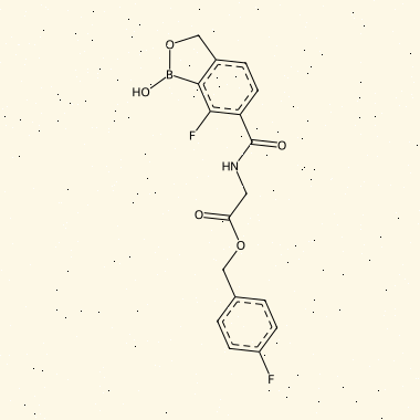 O=C(CNC(=O)c1ccc2c(c1F)B(O)OC2)OCc1ccc(F)cc1